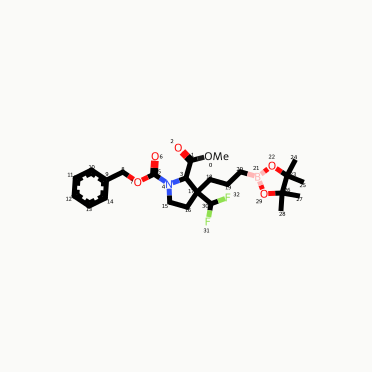 COC(=O)C1N(C(=O)OCc2ccccc2)CCC1(CCCB1OC(C)(C)C(C)(C)O1)C(F)F